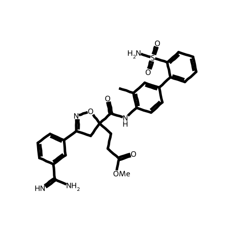 COC(=O)CCC1(C(=O)Nc2ccc(-c3ccccc3S(N)(=O)=O)cc2C)CC(c2cccc(C(=N)N)c2)=NO1